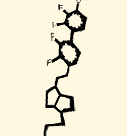 CCCC1CCC2C(CCc3ccc(-c4ccc(OC)c(F)c4F)c(F)c3F)CCC12